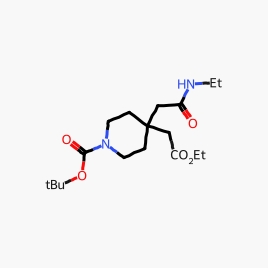 CCNC(=O)CC1(CC(=O)OCC)CCN(C(=O)OC(C)(C)C)CC1